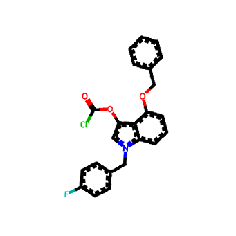 O=C(Cl)Oc1cn(Cc2ccc(F)cc2)c2cccc(OCc3ccccc3)c12